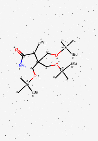 [CH2]CCC(C(N)=O)C(CO[Si](C)(C)C(C)(C)C)(CO[Si](C)(C)C(C)(C)C)CO[Si](C)(C)C(C)(C)C